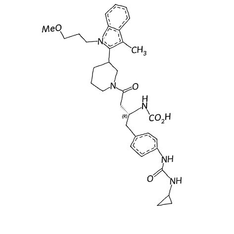 COCCCn1c(C2CCCN(C(=O)C[C@@H](Cc3ccc(NC(=O)NC4CC4)cc3)NC(=O)O)C2)c(C)c2ccccc21